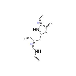 C=CN/C=C(/C=C)Cc1cc(=C)/c(=C\C)[nH]1